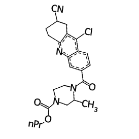 CCCOC(=O)N1CCN(C(=O)c2ccc3c(Cl)c4c(nc3c2)CCC(C#N)C4)C(C)C1